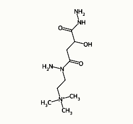 C[N+](C)(C)CCN(N)C(=O)CC(O)C(=O)NN